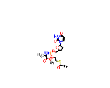 CC(C)OC(=O)C(C)NP(OCCSC(=O)C(C)C)OCC1CCC(n2ccc(=O)[nH]c2=O)O1